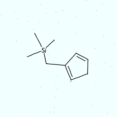 C[Si](C)(C)CC1=[C]CC=C1